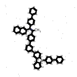 C/C(=C(\c1ccc(-c2ccccc2)cc1)c1ccc2ccccc2c1)c1ccc(-c2cccc(-c3ccc4c(c3)c3ccccc3n4-c3ccc(-c4ccccc4)cc3)c2)cc1